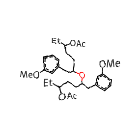 CCC(CCC(Cc1cccc(OC)c1)OC(CCC(CC)OC(C)=O)Cc1cccc(OC)c1)OC(C)=O